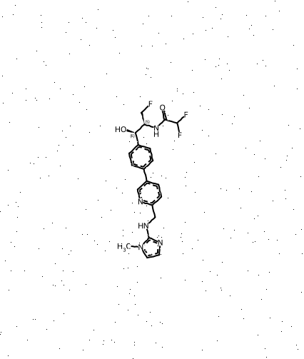 Cn1ccnc1NCc1ccc(-c2ccc([C@@H](O)[C@@H](CF)NC(=O)C(F)F)cc2)cn1